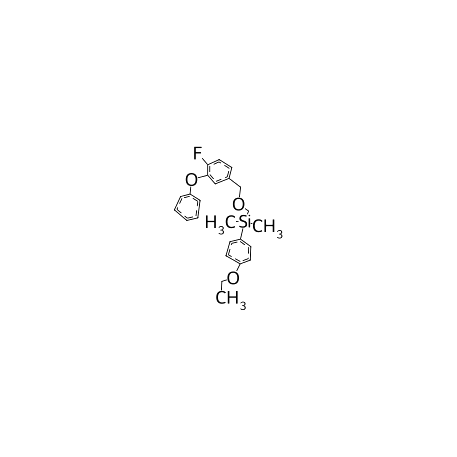 CCOc1ccc([Si](C)(C)COCc2ccc(F)c(Oc3ccccc3)c2)cc1